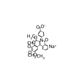 COC(=O)c1c(-c2cc(OC)c(OC)c(OC)c2)c2ccccc2c(=O)n1-c1ccc(C(=O)[O-])cc1.[Na+]